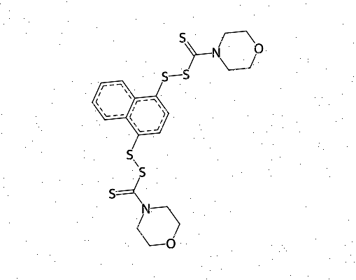 S=C(SSc1ccc(SSC(=S)N2CCOCC2)c2ccccc12)N1CCOCC1